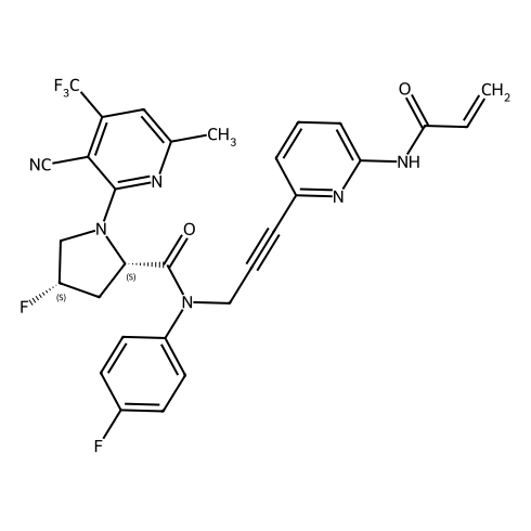 C=CC(=O)Nc1cccc(C#CCN(C(=O)[C@@H]2C[C@H](F)CN2c2nc(C)cc(C(F)(F)F)c2C#N)c2ccc(F)cc2)n1